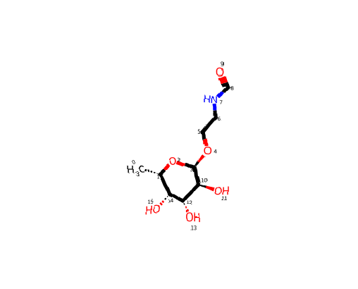 C[C@@H]1O[C@@H](OCCNC=O)[C@@H](O)[C@H](O)[C@@H]1O